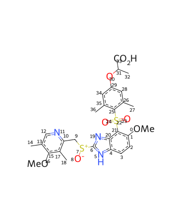 COc1ccc2[nH]c([S+]([O-])Cc3ncc(C)c(OC)c3C)nc2c1S(=O)(=O)c1c(C)cc(OC(C)C(=O)O)cc1C